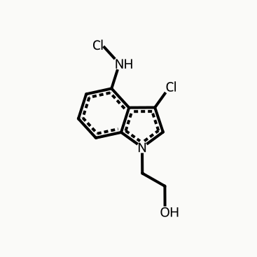 OCCn1cc(Cl)c2c(NCl)cccc21